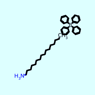 CCCCCCCCCCCCCCCC[NH3+].c1ccc([B-](c2ccccc2)(c2ccccc2)c2ccccc2)cc1